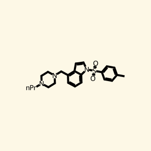 CCCN1CCN(Cc2cccc3c2ccn3S(=O)(=O)c2ccc(C)cc2)CC1